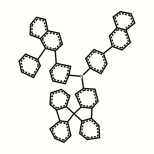 c1ccc(-c2c(-c3cccc(N(c4ccc(-c5ccc6ccccc6c5)cc4)c4ccc5c(c4)C4(c6ccccc6-c6ccccc64)c4ccccc4-5)c3)ccc3ccccc23)cc1